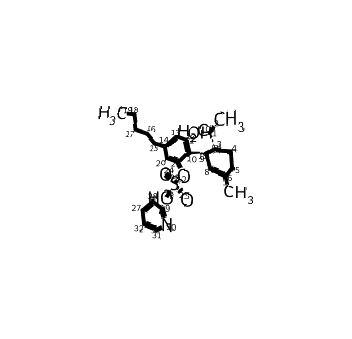 C=C(C)[C@@H]1CCC(C)=C[C@H]1c1c(O)cc(CCCCC)cc1OS(=O)(=O)O.c1ccncc1